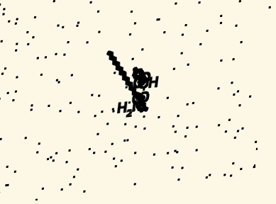 CCCCCCCCC=CCCCCCCCCOC(=O)[C@@H](N)CC(C)C.Cc1ccc(S(=O)(=O)O)cc1